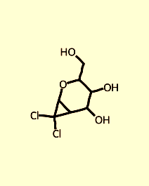 OCC1OC2C(C(O)C1O)C2(Cl)Cl